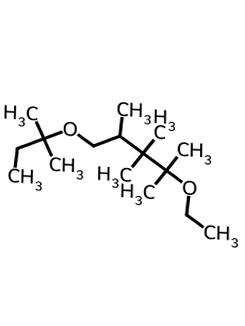 CCOC(C)(C)C(C)(C)C(C)COC(C)(C)CC